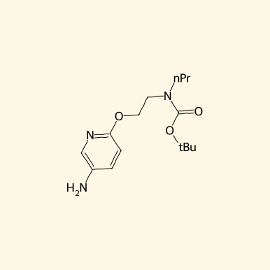 CCCN(CCOc1ccc(N)cn1)C(=O)OC(C)(C)C